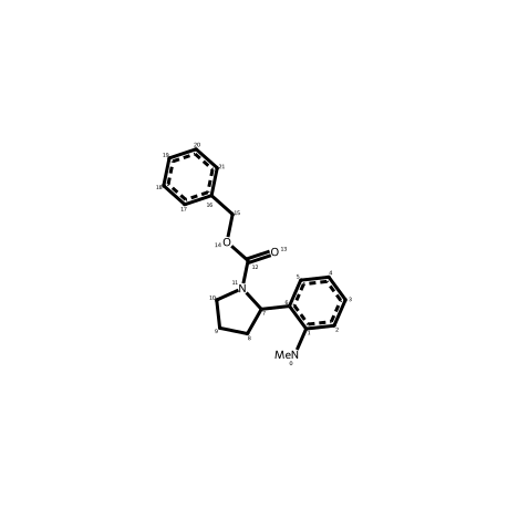 CNc1ccccc1C1CCCN1C(=O)OCc1ccccc1